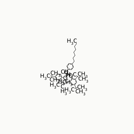 CCCCCCCCc1ccc(OP(Oc2c(C)cc(C(C)(C)C)cc2C(C)(C)C)Oc2c(C)cc(C(C)(C)C)cc2C(C)(C)C)cc1